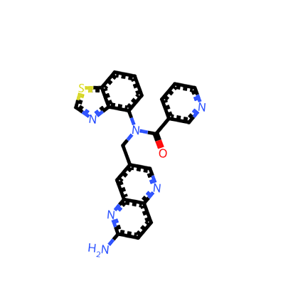 Nc1ccc2ncc(CN(C(=O)c3cccnc3)c3cccc4scnc34)cc2n1